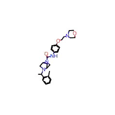 Cc1ccccc1C(C)N1CC2CC1CN2C(=O)Nc1ccc(OCCN2CCOCC2)cc1